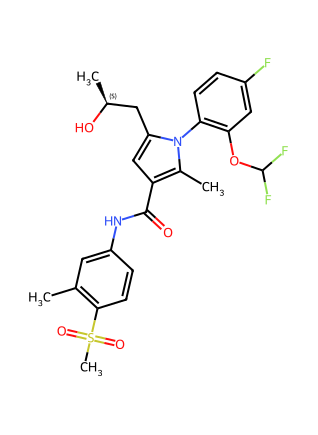 Cc1cc(NC(=O)c2cc(C[C@H](C)O)n(-c3ccc(F)cc3OC(F)F)c2C)ccc1S(C)(=O)=O